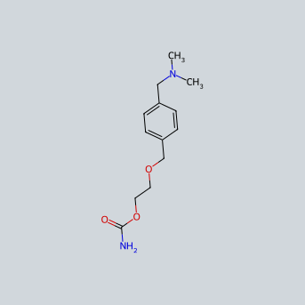 CN(C)Cc1ccc(COCCOC(N)=O)cc1